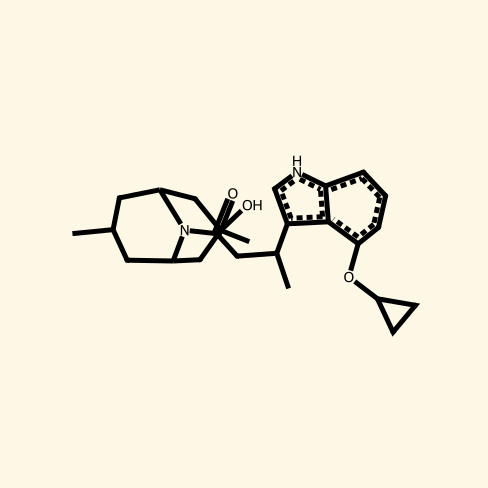 CC1CC2CC(C)(O)CC(C1)N2C(=O)CC(C)c1c[nH]c2cccc(OC3CC3)c12